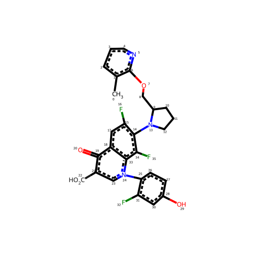 Cc1cccnc1OCC1CCCN1c1c(F)cc2c(=O)c(C(=O)O)cn(-c3ccc(O)cc3F)c2c1F